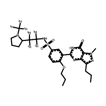 [2H]C([2H])([2H])N1CCCC1C([2H])([2H])C([2H])([2H])NS(=O)(=O)c1ccc(OCCC)c(-c2nc3c(CCC)nn(C)c3c(=O)[nH]2)c1